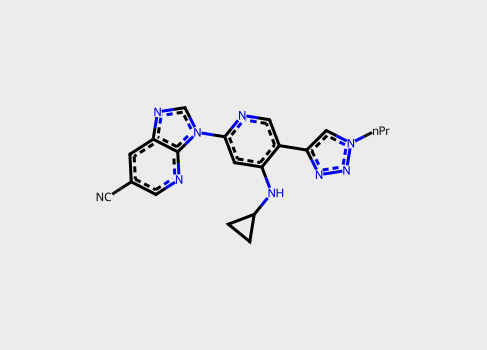 CCCn1cc(-c2cnc(-n3cnc4cc(C#N)cnc43)cc2NC2CC2)nn1